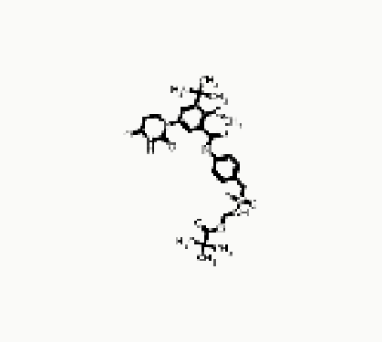 COc1c(C(=O)Nc2ccc(CS(=O)(=O)NCOC(=O)C(C)(C)C)cc2)cc(N2CCC(=O)NC2=O)cc1C(C)(C)C